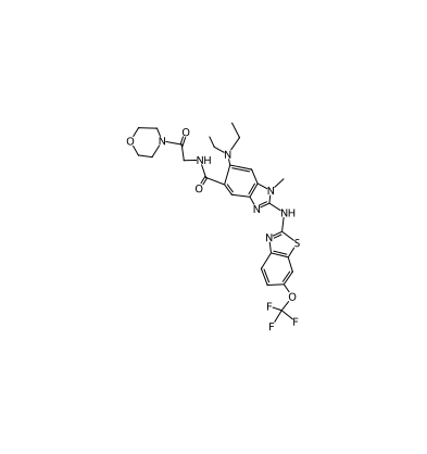 CCN(CC)c1cc2c(cc1C(=O)NCC(=O)N1CCOCC1)nc(Nc1nc3ccc(OC(F)(F)F)cc3s1)n2C